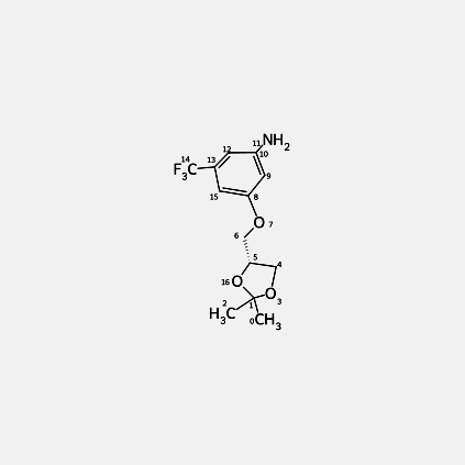 CC1(C)OC[C@@H](COc2cc(N)cc(C(F)(F)F)c2)O1